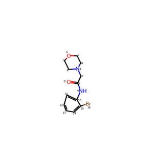 O=C(CN1CCOCC1)Nc1ccccc1Br